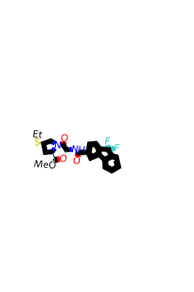 CCS[C@@H]1C[C@@H](C(=O)OC)N(C(=O)CNC(=O)c2ccc3c(c2)-c2ccccc2C3(F)F)C1